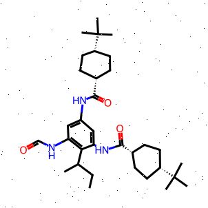 CCC(C)c1c(NC=O)cc(NC(=O)[C@H]2CC[C@@H](C(C)(C)C)CC2)cc1NC(=O)[C@H]1CC[C@@H](C(C)(C)C)CC1